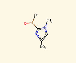 CC[S+]([O-])c1nc([N+](=O)[O-])cn1C